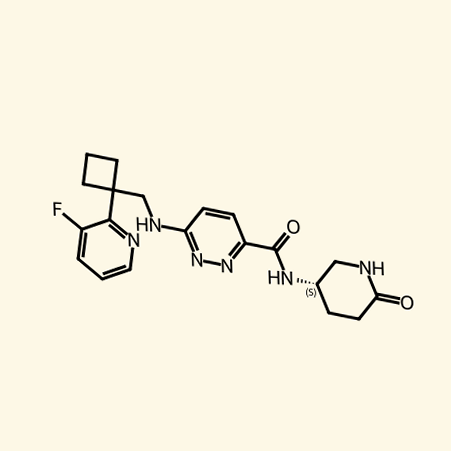 O=C1CC[C@H](NC(=O)c2ccc(NCC3(c4ncccc4F)CCC3)nn2)CN1